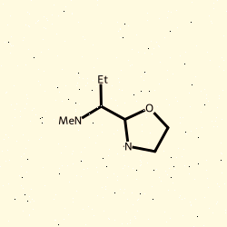 CCC(NC)C1[N]CCO1